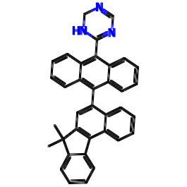 CC1(C)c2ccccc2-c2c1cc(-c1c3ccccc3c(C3=NC=NCN3)c3ccccc13)c1ccccc21